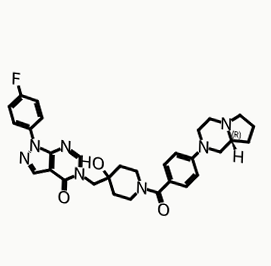 O=C(c1ccc(N2CCN3CCC[C@@H]3C2)cc1)N1CCC(O)(Cn2cnc3c(cnn3-c3ccc(F)cc3)c2=O)CC1